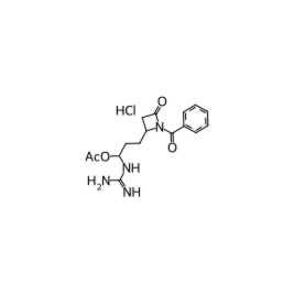 CC(=O)OC(CCC1CC(=O)N1C(=O)c1ccccc1)NC(=N)N.Cl